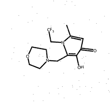 Cc1cc(=O)c(O)c(CN2CCOCC2)n1CC(F)(F)F